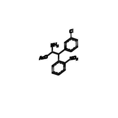 CC(=O)OC(N)C(c1cccc(Cl)c1)c1ccccc1[N+](=O)[O-]